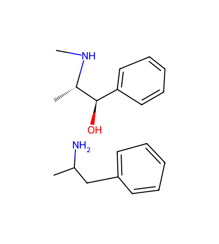 CC(N)Cc1ccccc1.CN[C@@H](C)[C@H](O)c1ccccc1